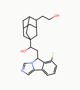 OCCC1C2CC3CC1CC(C(O)CC1c4c(F)cccc4-c4cncn41)(C3)C2